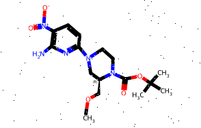 COC[C@H]1CN(c2ccc([N+](=O)[O-])c(N)n2)CCN1C(=O)OC(C)(C)C